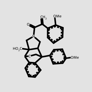 C=C(C(=O)N1CC2C3(c4ccc(OC)cc4)CCC(c4ccccc43)C2(C(=O)O)C1)c1ccccc1OC